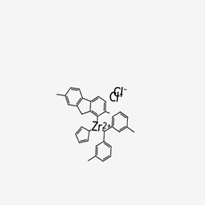 Cc1cccc([C](c2cccc(C)c2)=[Zr+2]([c]2c(C)ccc3c2Cc2cc(C)ccc2-3)[CH]2C=CC=C2)c1.[Cl-].[Cl-]